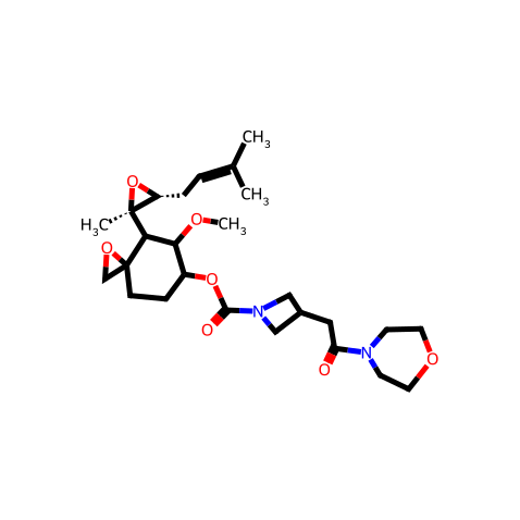 COC1C(OC(=O)N2CC(CC(=O)N3CCOCC3)C2)CCC2(CO2)C1[C@@]1(C)O[C@@H]1CC=C(C)C